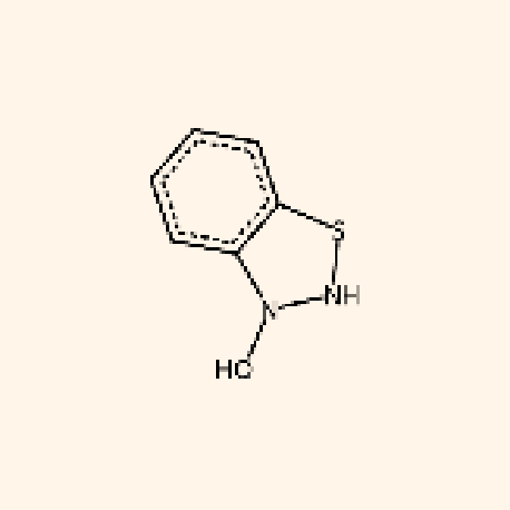 ON1NSc2ccccc21